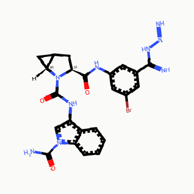 N=NNC(=N)c1cc(Br)cc(NC(=O)[C@@H]2CC3C[C@H]3N2C(=O)Nc2cn(C(N)=O)c3ccccc23)c1